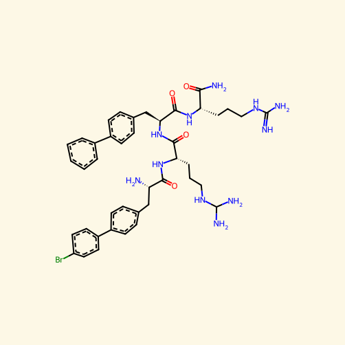 N=C(N)NCCC[C@H](NC(=O)[C@H](Cc1ccc(-c2ccccc2)cc1)NC(=O)[C@H](CCCNC(N)N)NC(=O)[C@@H](N)Cc1ccc(-c2ccc(Br)cc2)cc1)C(N)=O